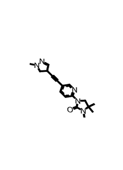 CN1CC(C#Cc2ccc(N3CC(C)(C)N(C)C3=O)nc2)C=N1